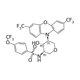 O=S(=O)(N[C@@H]1COC[C@H](N2c3ccc(C(F)(F)F)cc3Oc3cc(C(F)(F)F)ccc32)[C@H]1O)c1ccc(OC(F)(F)F)cc1